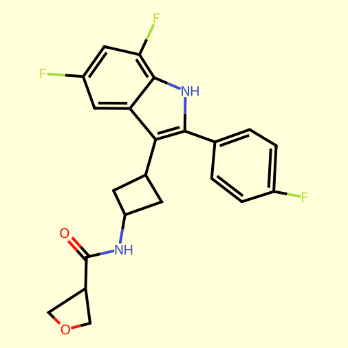 O=C(NC1CC(c2c(-c3ccc(F)cc3)[nH]c3c(F)cc(F)cc23)C1)C1COC1